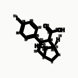 CN1C2CC[C@@H]1C(C(=O)O)C(c1ccc(I)cc1)C2